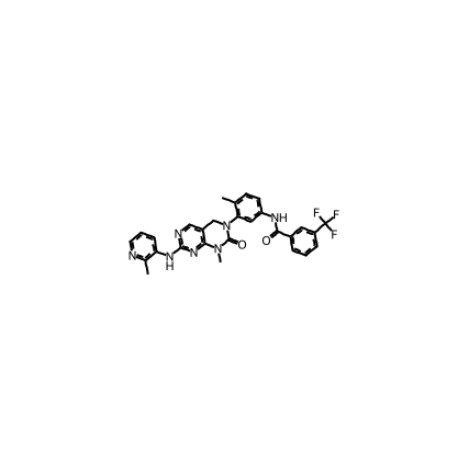 Cc1ccc(NC(=O)c2cccc(C(F)(F)F)c2)cc1N1Cc2cnc(Nc3cccnc3C)nc2N(C)C1=O